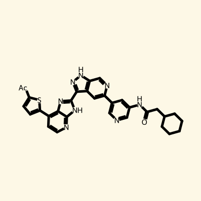 CC(=O)c1ccc(-c2ccnc3[nH]c(-c4n[nH]c5cnc(-c6cncc(NC(=O)CC7CCCCC7)c6)cc45)nc23)s1